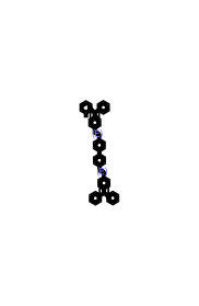 CC1CC=CC=C1N(c1ccccc1)c1ccc(/C=C/c2ccc(-c3ccc(/C=C/c4ccc(N(c5ccccc5)c5ccccc5)cc4)cc3)cc2)cc1